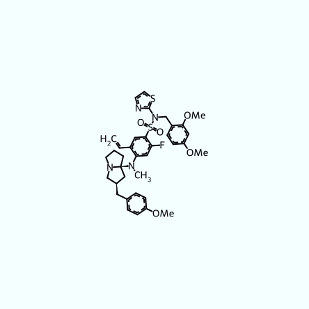 C=Cc1cc(S(=O)(=O)N(Cc2ccc(OC)cc2OC)c2nccs2)c(F)cc1N(C)[C@]12CCCN1C[C@H](Cc1ccc(OC)cc1)C2